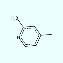 Bc1cc(C)ccn1